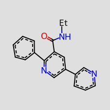 CCNC(=O)c1cc(-c2cccnc2)cnc1-c1ccccc1